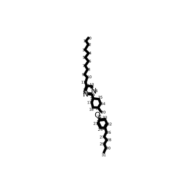 CCCCCCCCCCCCc1cnc(C2CCC(COc3ccc(CCCCCC)cc3)CC2)nc1